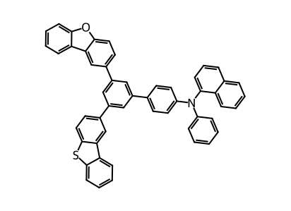 c1ccc(N(c2ccc(-c3cc(-c4ccc5oc6ccccc6c5c4)cc(-c4ccc5sc6ccccc6c5c4)c3)cc2)c2cccc3ccccc23)cc1